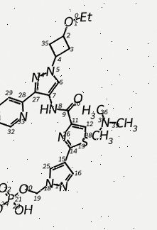 CCOC1CC(n2cc(NC(=O)c3csc(-c4cnn(COP(=O)(O)O)c4)n3)c(-c3ccccn3)n2)C1.CN(C)C